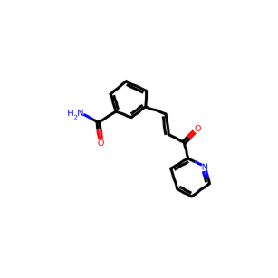 NC(=O)c1cccc(/C=C/C(=O)c2ccccn2)c1